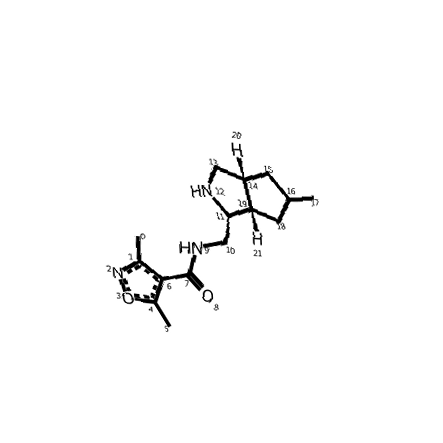 Cc1noc(C)c1C(=O)NC[C@H]1NC[C@@H]2CC(C)C[C@@H]21